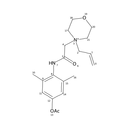 C=CC[N+]1(CC(=O)Nc2c(C)cc(OC(C)=O)cc2C)CCOCC1